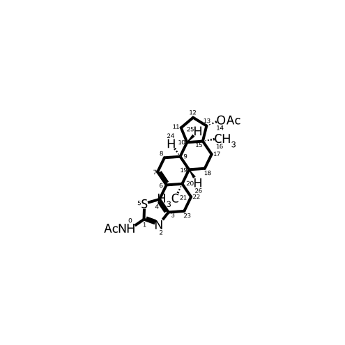 CC(=O)Nc1nc2c(s1)C1=CC[C@H]3[C@@H]4CC[C@H](OC(C)=O)[C@@]4(C)CC[C@@H]3[C@@]1(C)CC2